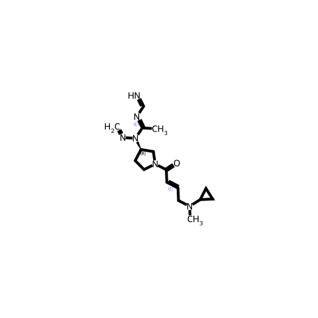 C=NN(/C(C)=N/C=N)[C@@H]1CCN(C(=O)/C=C/CN(C)C2CC2)C1